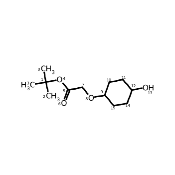 CC(C)(C)OC(=O)COC1CCC(O)CC1